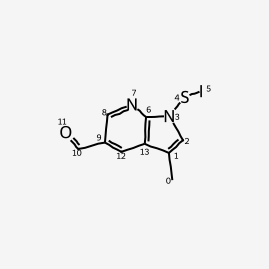 Cc1cn(SI)c2ncc(C=O)cc12